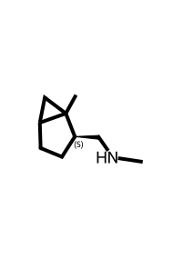 CNC[C@H]1CCC2CC21C